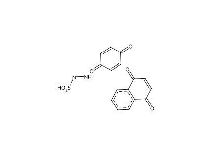 N=NS(=O)(=O)O.O=C1C=CC(=O)C=C1.O=C1C=CC(=O)c2ccccc21